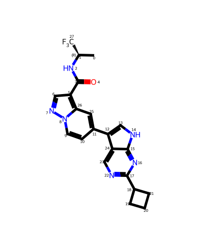 C[C@@H](NC(=O)c1cnn2ccc(-c3c[nH]c4nc(C5CCC5)ncc34)cc12)C(F)(F)F